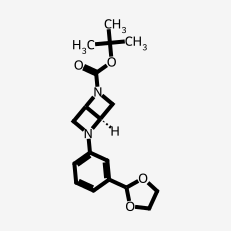 CC(C)(C)OC(=O)N1C[C@@H]2C1CN2c1cccc(C2OCCO2)c1